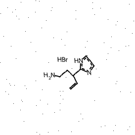 Br.C=CC(CCN)c1ncc[nH]1